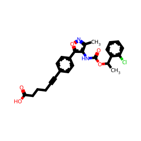 Cc1noc(-c2ccc(C#CCCCC(=O)O)cc2)c1NC(=O)OC(C)c1ccccc1Cl